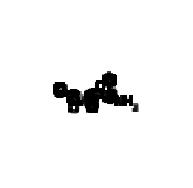 N[C@@H]1CCN(C(=O)N2CC[C@@H](Cn3ccc(-c4ccccc4)cc3=O)C3(CCCC3)C2)[C@H](c2ccccc2)C1